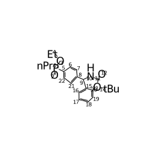 CCCP(=O)(OCC)c1ccc(C(NC(=O)OC(C)(C)C)c2ccccc2)cc1